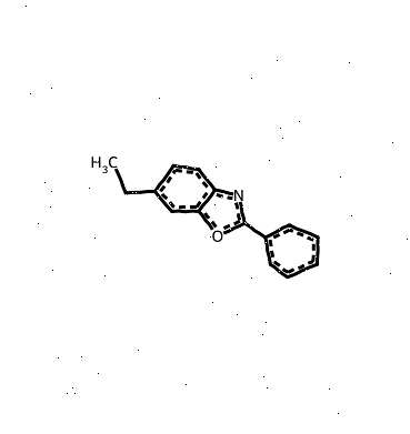 CCc1ccc2nc(-c3ccccc3)oc2c1